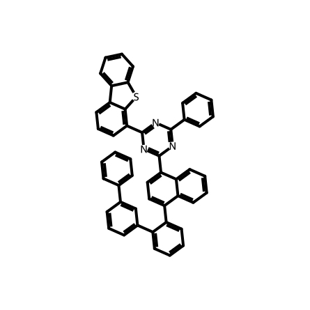 c1ccc(-c2cccc(-c3ccccc3-c3ccc(-c4nc(-c5ccccc5)nc(-c5cccc6c5sc5ccccc56)n4)c4ccccc34)c2)cc1